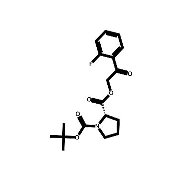 CC(C)(C)OC(=O)N1CCC[C@H]1C(=O)OCC(=O)c1ccccc1F